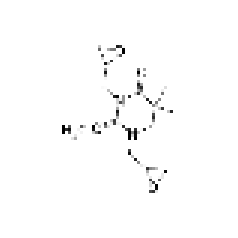 C.CC1(C)CN(CC2CO2)C(=O)N(CC2CO2)C1=O